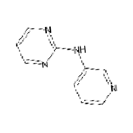 c1cnc(Nc2cccnc2)nc1